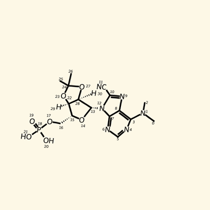 CN(C)c1ncnc2c1nc(C#N)n2[C@@H]1O[C@H](COP(=O)(O)O)[C@H]2OC(C)(C)O[C@H]21